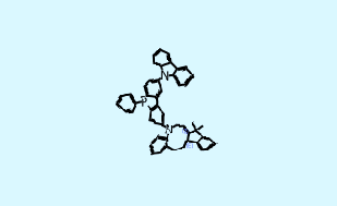 CC1(C)C2=C/CN(c3ccc4c(c3)c3cc(-n5c6ccccc6c6ccccc65)ccc3p4-c3ccccc3)c3ccccc3C/C=C\2c2ccccc21